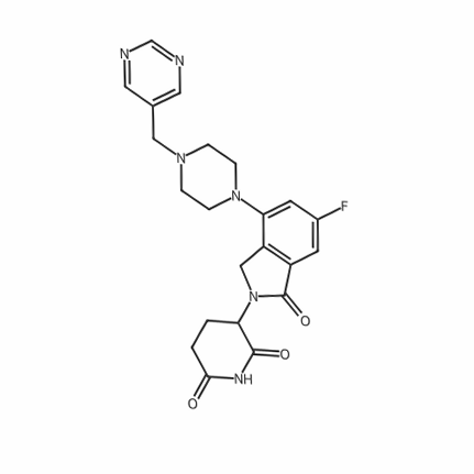 O=C1CCC(N2Cc3c(cc(F)cc3N3CCN(Cc4cncnc4)CC3)C2=O)C(=O)N1